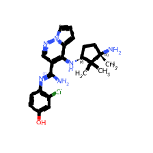 CC1(C)[C@H](Nc2c(/C(N)=N/c3ccc(O)cc3Cl)cnn3cccc23)CC[C@]1(C)N